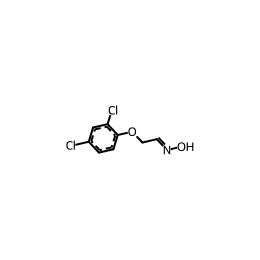 ON=CCOc1ccc(Cl)cc1Cl